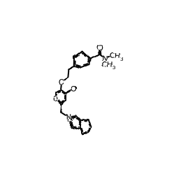 CN(C)C(=O)c1ccc(CCOc2coc(Cn3cc4ccccc4c3)cc2=O)cc1